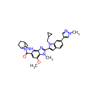 COc1cc(C(=O)N2CC3CCC2C3N)cc2nc(-c3cc4ccc(-c5cnn(C)c5)cc4n3CC3CC3)n(C)c12